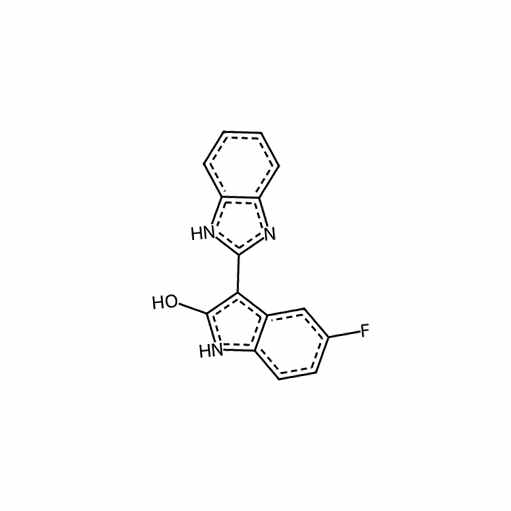 Oc1[nH]c2ccc(F)cc2c1-c1nc2ccccc2[nH]1